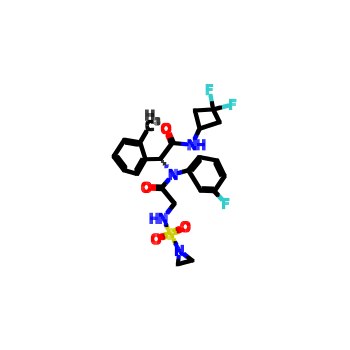 Cc1ccccc1[C@H](C(=O)NC1CC(F)(F)C1)N(C(=O)CNS(=O)(=O)N1CC1)c1cccc(F)c1